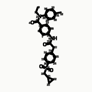 CCN(C(=O)c1ccc(NC(=O)Cc2ccc(S(=O)(=O)CC3CC3)cc2)cc1)c1ccc(C)cc1